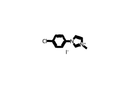 C[n+]1ccn(-c2ccc(Cl)cc2)c1.[I-]